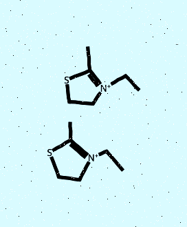 CC[N+]1=C(C)SCC1.CC[N+]1=C(C)SCC1